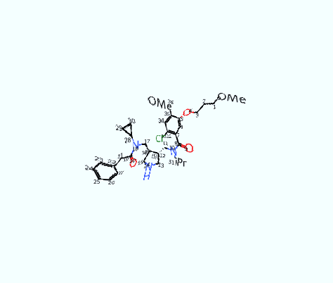 COCCCOc1cc(C(=O)N(C[C@@H]2CNC[C@H]2CN(C(=O)Cc2ccccc2)C2CC2)C(C)C)c(Cl)cc1OC